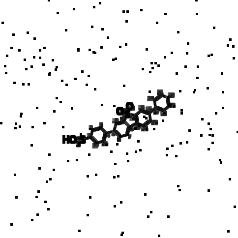 O=S(=O)(O)c1ccc(-c2ccc3c(c2)S(=O)(=O)c2cc(-c4ccccc4)ccc2-3)cc1